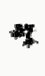 C[n+]1cn([C@H]2C[C@@H](O)C(COP(=O)(O)OP(=O)(O)OP(=O)(O)OC[C@H]3O[C@@H](n4cnc5c(=O)[nH]c(N)nc54)C[C@H]3OP(=O)(O)O)O2)c2nc(N)[nH]c(=O)c21